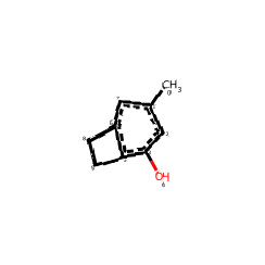 Cc1cc(O)c2c(c1)CC2